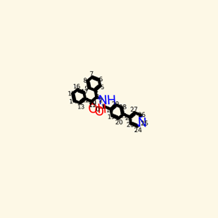 O=C(NC(c1ccccc1)[C@H](O)c1ccccc1)c1ccc(-c2ccncc2)cc1